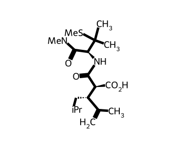 C=C(C)[C@H](CC(C)C)[C@H](C(=O)O)C(=O)N[C@@H](C(=O)NC)C(C)(C)SC